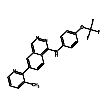 Cc1cccnc1-c1ccc2c(Nc3ccc(OC(F)(F)F)cc3)nncc2c1